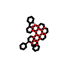 c1ccc(-c2ccccc2N(c2ccccc2-c2ccccc2N(c2ccc3c(c2)oc2ccccc23)c2cccc3c2sc2ccccc23)c2ccc(-c3ccccc3)c3ccccc23)cc1